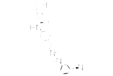 CCOCC(=O)NC1CCC(CCN2CCN(c3cccc(C#N)c3)CC2)CC1